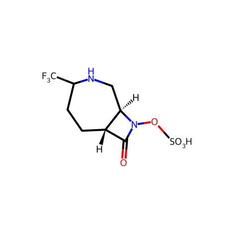 O=C1[C@@H]2CCC(C(F)(F)F)NC[C@H]2N1OS(=O)(=O)O